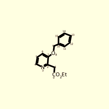 CCOC(=O)Cc1ncccc1OCc1ccccc1